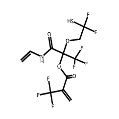 C=CNC(=O)C(OCC(F)(F)S)(OC(=O)C(=C)C(F)(F)F)C(F)(F)F